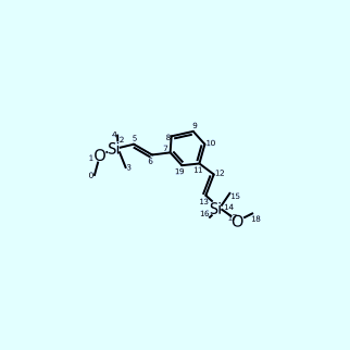 CO[Si](C)(C)C=Cc1cccc(C=C[Si](C)(C)OC)c1